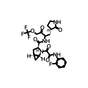 O=C(Nc1ccccc1F)C(=O)N1[C@H](C(=O)NC(C[C@@H]2CCNC2=O)C(=O)COC(F)(F)F)C[C@@H]2C[C@@H]21